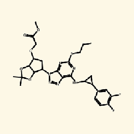 CCCSc1nc(NC2CC2c2ccc(F)c(F)c2)c2nnn(C3CC(OCC(=O)OC)C4OC(C)(C)OC43)c2n1